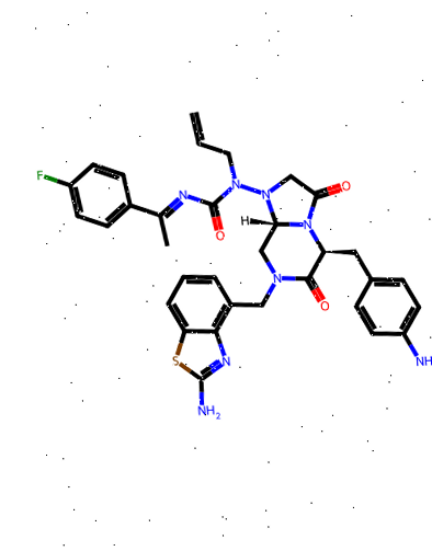 C=CCN(C(=O)/N=C(\C)c1ccc(F)cc1)N1CC(=O)N2[C@@H](Cc3ccc(N)cc3)C(=O)N(Cc3cccc4sc(N)nc34)C[C@@H]21